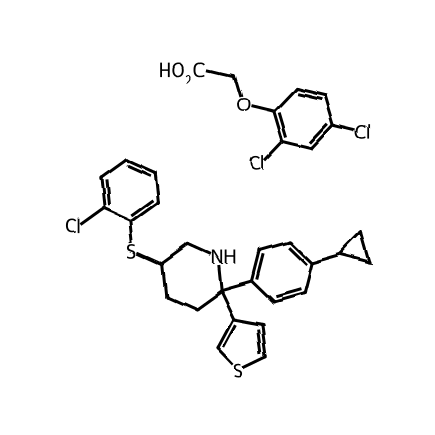 Clc1ccccc1SC1CCC(c2ccc(C3CC3)cc2)(c2ccsc2)NC1.O=C(O)COc1ccc(Cl)cc1Cl